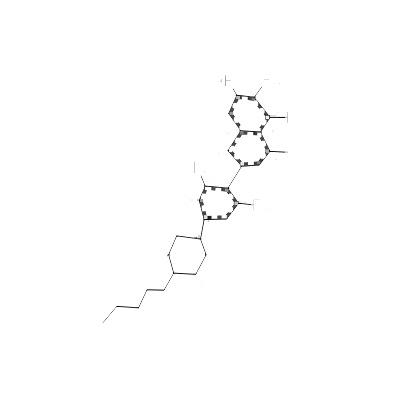 CCCCCC1CCC(c2cc(F)c(-c3cc(F)c4c(F)c(F)c(F)cc4c3)c(F)c2)CC1